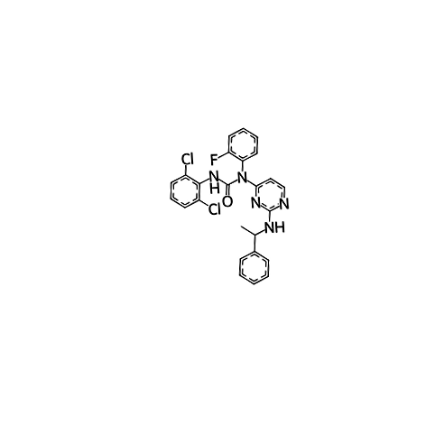 CC(Nc1nccc(N(C(=O)Nc2c(Cl)cccc2Cl)c2ccccc2F)n1)c1ccccc1